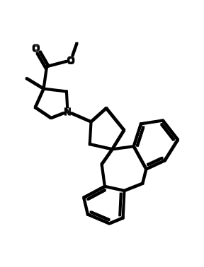 COC(=O)C1(C)CCN(C2CCC3(Cc4ccccc4Cc4ccccc43)C2)C1